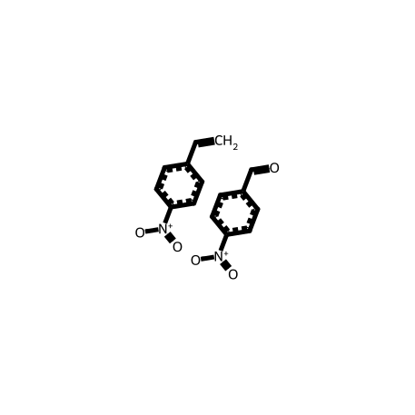 C=Cc1ccc([N+](=O)[O-])cc1.O=Cc1ccc([N+](=O)[O-])cc1